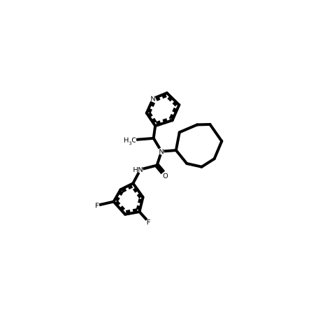 CC(c1cccnc1)N(C(=O)Nc1cc(F)cc(F)c1)C1CCCCCCC1